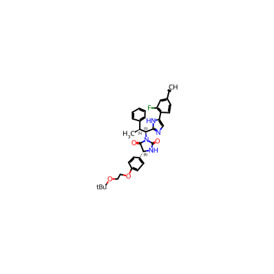 C#Cc1ccc(-c2cnc([C@H]([C@@H](C)c3ccccc3)N3C(=O)N[C@H](c4ccc(OCCOC(C)(C)C)cc4)C3=O)[nH]2)c(F)c1